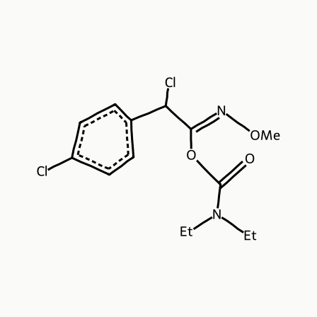 CCN(CC)C(=O)OC(=NOC)C(Cl)c1ccc(Cl)cc1